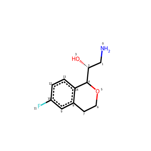 NC[C@@H](O)C1OCCc2cc(F)ccc21